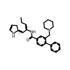 CC/C=C(\C=C1/CC=CN1)NC(=O)c1ccc(-c2ccccc2)c(CN2CCCCC2)c1